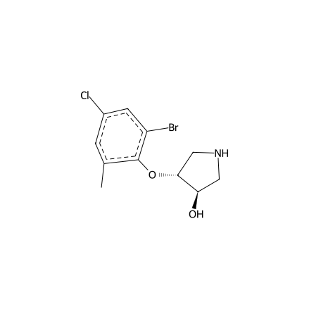 Cc1cc(Cl)cc(Br)c1O[C@@H]1CNC[C@H]1O